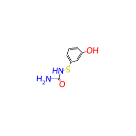 NC(=O)NSc1cccc(O)c1